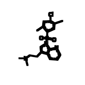 Cc1cc(S(=O)(=O)n2cc(CCN(C)C)c3cccnc32)c(C)cc1Cl